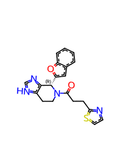 O=C(CCc1nccs1)N1CCc2[nH]cnc2[C@@H]1c1cc2ccccc2o1